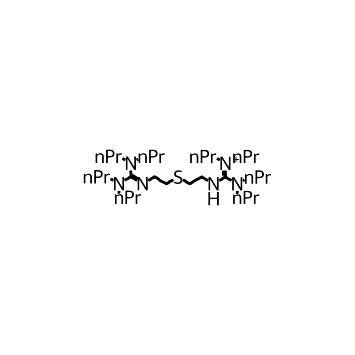 CCCN(CCC)C(=NCCSCCNC(N(CCC)CCC)=[N+](CCC)CCC)N(CCC)CCC